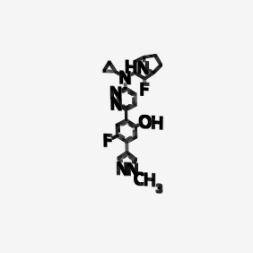 Cn1cc(-c2cc(O)c(-c3ccc(N(C4CC4)C4CC5CCC(N5)C4F)nn3)cc2F)cn1